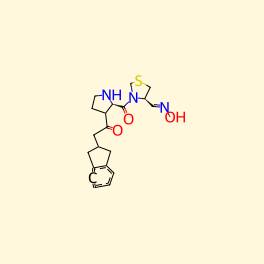 O=C(CC1Cc2ccccc2C1)C1CCN[C@H]1C(=O)N1CSC[C@H]1C=NO